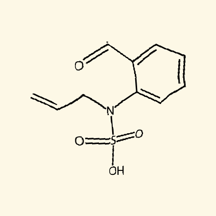 C=CCN(c1ccccc1[C]=O)S(=O)(=O)O